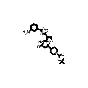 CC(C)(C)OC(=O)N1CCC(c2cc(=O)[nH]c3c(-c4nc(-c5cccc(N)c5)no4)cnn23)CC1